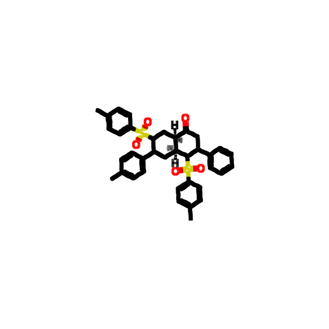 Cc1ccc(C2C[C@@H]3C(S(=O)(=O)c4ccc(C)cc4)C(c4ccccc4)CC(=O)[C@@H]3CC2S(=O)(=O)c2ccc(C)cc2)cc1